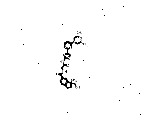 C[C@@H]1CN(c2cccc(-c3csc(NC(=O)CNC(=O)c4ccc5c(c4)[C@](C)(CO)CC5)n3)n2)C[C@H](C)O1